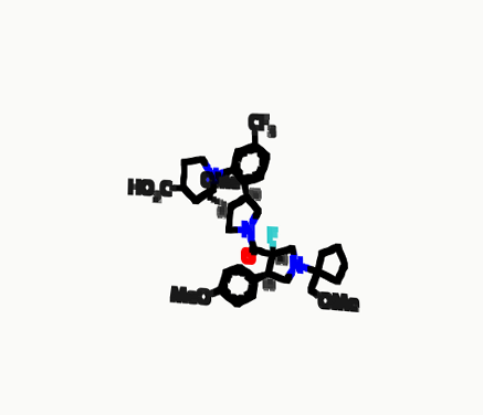 COC[C@H]1CN(C(=O)[C@]2(F)CN(C3(COC)CCCC3)C[C@H]2c2ccc(OC)cc2)C[C@@H]1c1ccc(C(F)(F)F)cc1N1CCC(C(=O)O)CC1